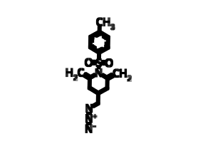 C=C1CC(CN=[N+]=[N-])CC(=C)N1S(=O)(=O)c1ccc(C)cc1